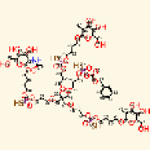 CC(=O)NC1[C@H](OCCCCOP(=O)(S)OCCCOCC(COCCCOP(=O)(S)OCCCCO[C@@H]2OC(CO)[C@@H](O)[C@H](O)C2C)(COCCCOP(=O)(S)OCCCCO[C@@H]2OC(CO)[C@H](O)[C@H](O)C2C)COCCCOP(=O)(S)OC(=O)OCc2ccccc2)OC(CO)[C@H](O)[C@@H]1O